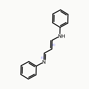 C(=C\Nc1ccccc1)/C=N/c1ccccc1